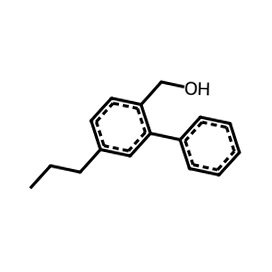 CCCc1ccc(CO)c(-c2ccccc2)c1